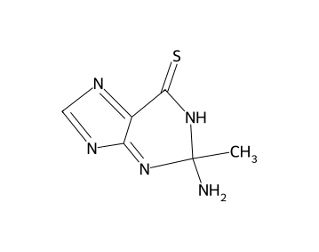 CC1(N)N=C2N=CN=C2C(=S)N1